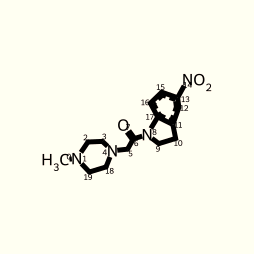 CN1CCN(CC(=O)N2CCc3cc([N+](=O)[O-])ccc32)CC1